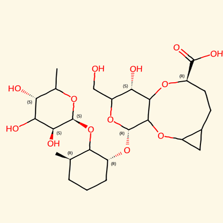 CC1O[C@@H](OC2[C@H](C)CCC[C@H]2O[C@@H]2OC(CO)[C@H](O)C3O[C@@H](C(=O)O)CCC4CC4OC32)[C@@H](O)C(O)[C@@H]1O